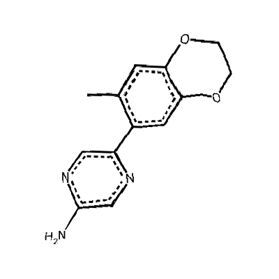 Cc1cc2c(cc1-c1cnc(N)cn1)OCCO2